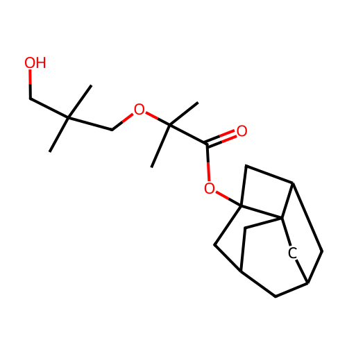 CC(C)(CO)COC(C)(C)C(=O)OC12CC3CC4CC(C1)C2(C4)C3